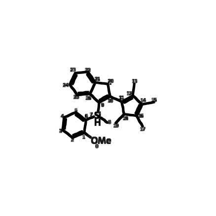 COc1ccccc1[SiH](C)C1=C(C2=C(C)C(C)=C(C)C2C)[CH]c2ccccc21